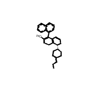 CCCC1CCC([C@H]2CC=CC3=C2CCC(O)=C3c2cccc3ccccc23)CC1